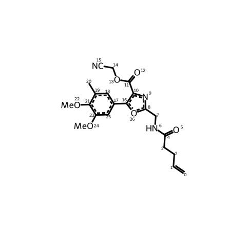 C=CCCC(=O)NCc1nc(C(=O)OCC#N)c(-c2cc(C)c(OC)c(OC)c2)o1